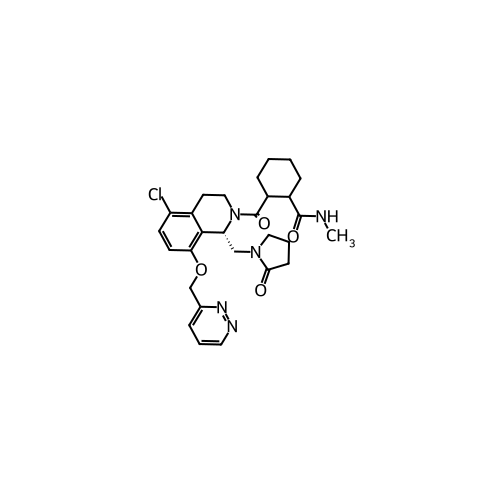 CNC(=O)C1CCCCC1C(=O)N1CCc2c(Cl)ccc(OCc3cccnn3)c2[C@H]1CN1CCCC1=O